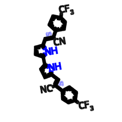 N#C/C(=C\c1ccc(-c2ccc(/C=C(\C#N)c3ccc(C(F)(F)F)cc3)[nH]2)[nH]1)c1ccc(C(F)(F)F)cc1